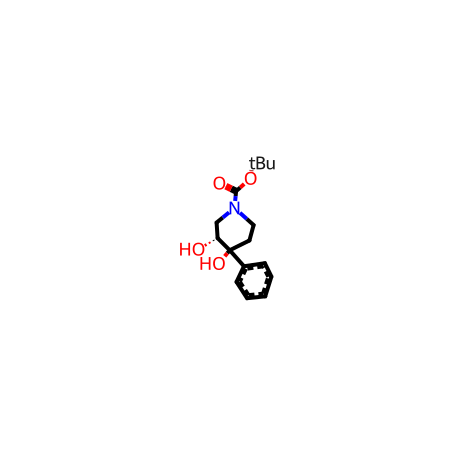 CC(C)(C)OC(=O)N1CCC(O)(c2ccccc2)[C@H](O)C1